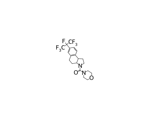 O=C(N1CCOCC1)N1CCC2c3ccc(C(F)(C(F)(F)F)C(F)(F)F)cc3CCC21